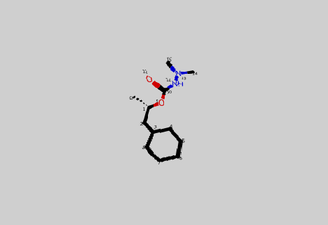 C[C@@H](CC1CCCCC1)OC(=O)NN(C)C